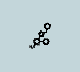 Nc1nnc(-c2cnn(Cc3ccccc3)c2)c(-c2ccccc2)n1